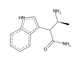 C[C@H](N)C(C(N)=O)c1c[nH]c2ccccc12